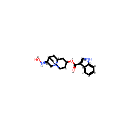 O=C(OC1CC2CC3CC(C1)N2CC3=NO)c1c[nH]c2ccccc12